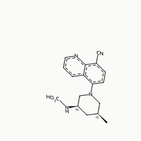 C[C@H]1C[C@@H](NC(=O)O)CN(c2ccc(C#N)c3ncccc23)C1